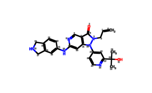 C=CCn1c(=O)c2cnc(Nc3ccc4c(c3)CNC4)cc2n1-c1ccnc(C(C)(C)O)c1